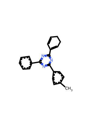 Cc1ccc(-c2nc(C3=CCCC=C3)nc(-c3ccccc3)n2)cc1